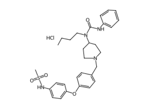 CCCCN(C(=O)Nc1ccccc1)C1CCN(Cc2ccc(Oc3ccc(NS(C)(=O)=O)cc3)cc2)CC1.Cl